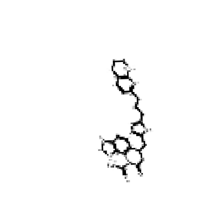 O=C(CC(Cc1nnc(CCCc2ccc3c(n2)NCCC3)o1)c1ccc2c(c1)OCO2)OC(=O)C(F)(F)F